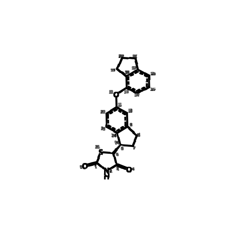 O=C1NC(=O)C([C@@H]2CCc3cc(Oc4cccc5c4CCC5)ccc32)S1